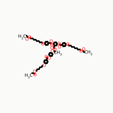 C=CC(=O)OCCCCCCCCOc1ccc(C(=O)Oc2ccc(OC(=O)c3ccc(OCCCCCCCCOC(=O)C=C)cc3)c(C(=O)OC(C)Oc3ccc(OC(=O)c4ccc(OCCCCCCOC(=O)C=C)cc4)cc3)c2)cc1